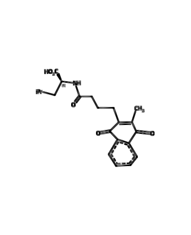 CC1=C(CCCC(=O)N[C@@H](CC(C)C)C(=O)O)C(=O)c2ccccc2C1=O